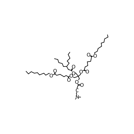 CCCCCCCCCOC(=O)CCCCC(=O)OCC(COC(=O)CCCCC(=O)OCCCCCCCCC)(COC(=O)CCCN(C)C)COC(=O)CC(CCCCC)CCCCC